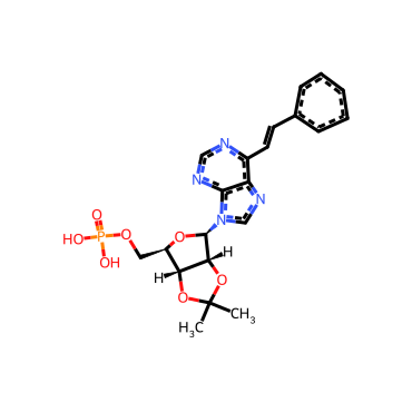 CC1(C)O[C@@H]2[C@H](O1)[C@@H](COP(=O)(O)O)O[C@H]2n1cnc2c(C=Cc3ccccc3)ncnc21